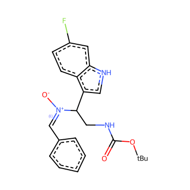 CC(C)(C)OC(=O)NCC(c1c[nH]c2cc(F)ccc12)/[N+]([O-])=C\c1ccccc1